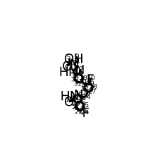 CCN(C(=O)O)c1nc2cc(-c3cc(Cc4n[nH]c(=O)c5ccc(F)cc45)ccc3F)ccc2[nH]1